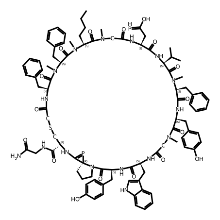 CCCC[C@H]1C(=O)N(C)CC(=O)N[C@@H](CC(O)=P)C(=O)N[C@@H](C(C)C)C(=O)N(C)[C@@H](Cc2ccccc2)C(=O)N[C@@H](Cc2ccc(O)cc2)C(=O)N(C)CC(=O)N[C@@H](Cc2c[nH]c3ccccc23)C(=O)N[C@@H](Cc2ccc(O)cc2)C(=O)N2CCC[C@]23P=C3N[C@H](C(=O)NCC(N)=O)CSCC(=O)N[C@@H](Cc2ccccc2)C(=O)N(C)[C@@H](Cc2ccccc2)C(=O)N1C